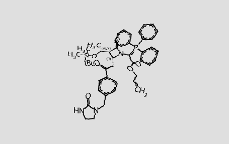 C=CCOC(=O)C(N1C(=O)[C@H]([C@@H](C)O[Si](C)(C)C(C)(C)C)[C@H]1CC(=O)c1ccc(CN2CCNC2=O)cc1)=P(c1ccccc1)(c1ccccc1)c1ccccc1